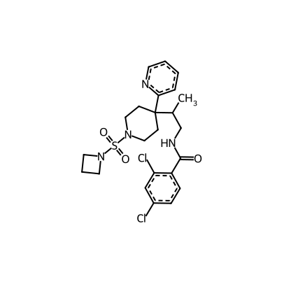 CC(CNC(=O)c1ccc(Cl)cc1Cl)C1(c2ccccn2)CCN(S(=O)(=O)N2CCC2)CC1